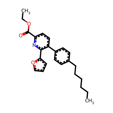 CCCCCCc1ccc(-c2ccc(C(=O)OCC)nc2-c2ccco2)cc1